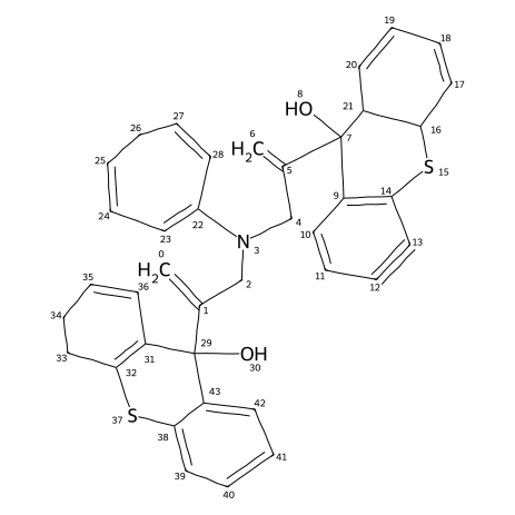 C=C(CN(CC(=C)C1(O)c2ccc#cc2SC2C=CC=CC21)C1=CC=CCC=C1)C1(O)C2=C(CCC=C2)Sc2ccccc21